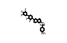 CCCc1ccc(C(F)(F)Oc2ccc3cc(-c4ccc(-c5cc(F)c(F)c(F)c5)c(F)c4F)ccc3c2)cc1